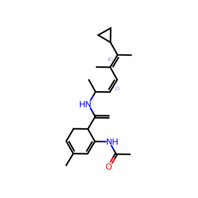 C=C(NC(C)/C=C\C(C)=C(/C)C1CC1)C1CC=C(C)C=C1NC(C)=O